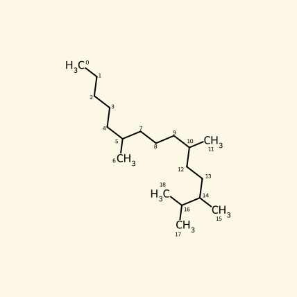 CCCCCC(C)CCCC(C)CCC(C)C(C)C